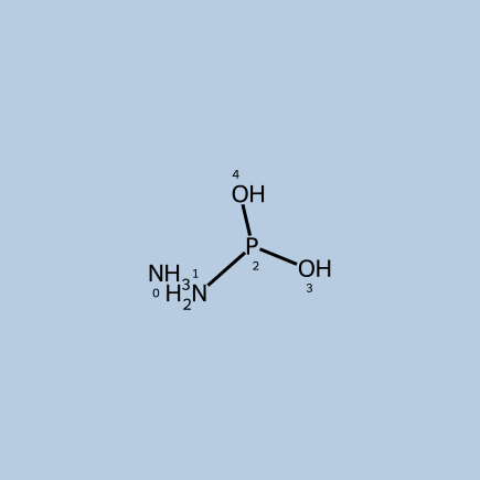 N.NP(O)O